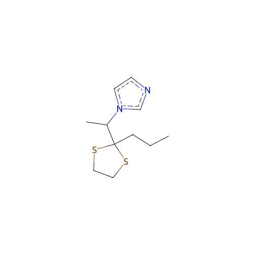 CCCC1(C(C)n2ccnc2)SCCS1